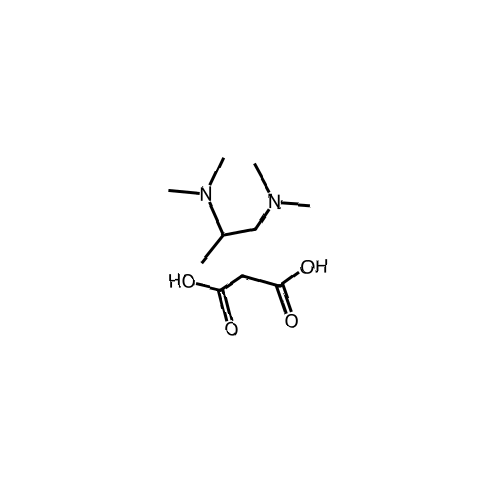 CC(CN(C)C)N(C)C.O=C(O)CC(=O)O